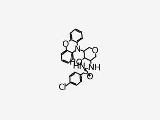 N=S(=O)(NC1COCC(N2c3ccccc3Oc3ccccc32)C1O)c1ccc(Cl)cc1